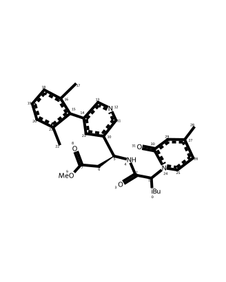 CCC(C)C(C(=O)N[C@@H](CC(=O)OC)c1cncc(-c2c(C)cccc2C)c1)n1ccc(C)cc1=O